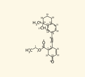 CCOC(=O)C1=C(C#Cc2ccc3c(c2)C(C)(C)CCC3)C=CC(=O)C1